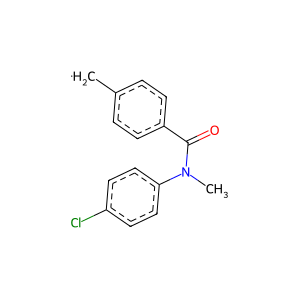 [CH2]c1ccc(C(=O)N(C)c2ccc(Cl)cc2)cc1